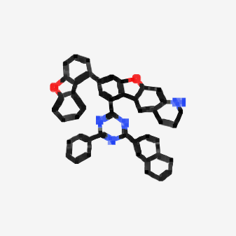 C1=CC2=CC3c4c(cc(-c5cccc6oc7ccccc7c56)cc4-c4nc(-c5ccccc5)nc(-c5ccc6ccccc6c5)n4)OC3C=C2NC1